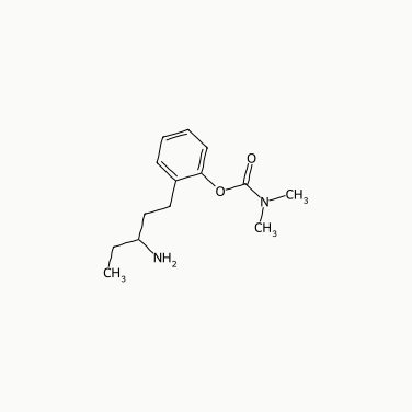 CCC(N)CCc1ccccc1OC(=O)N(C)C